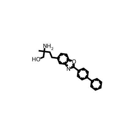 CC(N)(CO)CCc1ccc2oc(-c3ccc(-c4ccccc4)cc3)nc2c1